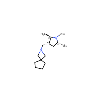 C[C@@H]1[C@@H](CN2CC3(CCCC3)C2)C[C@@H](C(C)(C)C)N1C(C)(C)C